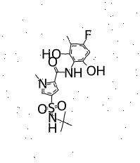 Cc1c(F)cc(O)c(NC(=O)c2cc(S(=O)(=O)NC(C)(C)C)cn2C)c1O